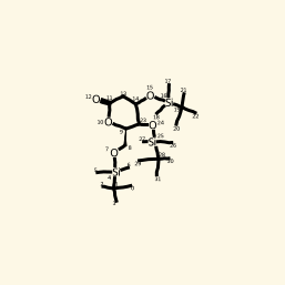 CC(C)(C)[Si](C)(C)OC[C@H]1OC(=O)CC(O[Si](C)(C)C(C)(C)C)C1O[Si](C)(C)C(C)(C)C